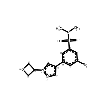 CN(C)S(=O)(=O)c1cc(Br)cc(-c2cnn(C3COC3)c2)c1